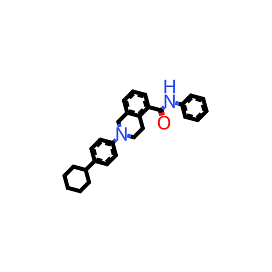 O=C(Nc1ccccc1)c1cccc2c1CCN(c1ccc(C3CCCCC3)cc1)C2